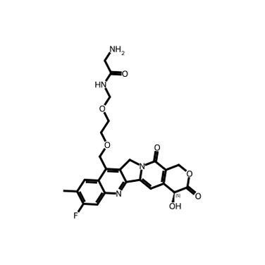 Cc1cc2c(COCCOCNC(=O)CN)c3c(nc2cc1F)-c1cc2c(c(=O)n1C3)COC(=O)[C@H]2O